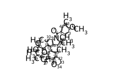 COc1ccc(C(=O)N2c3cc(C)c([C@H](OC(C)(C)C)C(=O)O)c(-c4cc(F)c5c(c4C)CCCO5)c3CC2(C)C)cc1C